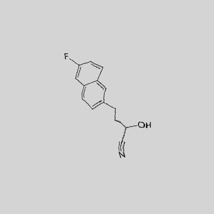 N#CC(O)CCc1ccc2cc(F)ccc2c1